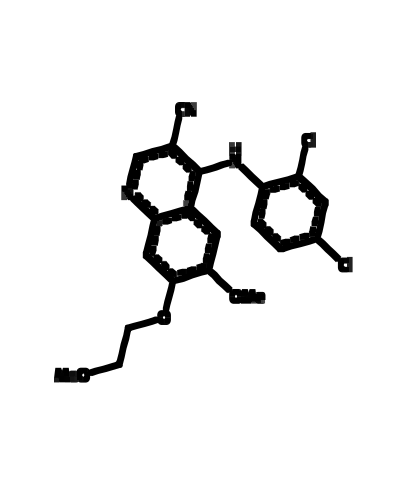 COCCOc1cc2ncc(C#N)c(Nc3ccc(Cl)cc3Cl)c2cc1OC